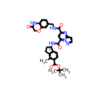 Cc1c(C(=O)OC(C)(C)C)ccc2c1CC[C@@H]2NC(=O)c1cc(C(=O)NCc2ccc3c(c2)OCC(=O)N3)nc2ccnn12